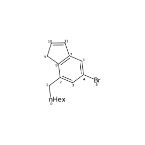 CCCCCCCc1cc(Br)cc2c1CC=C2